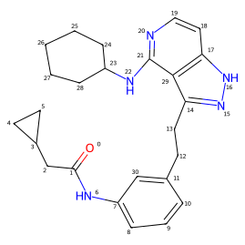 O=C(CC1CC1)Nc1cccc(CCc2n[nH]c3ccnc(NC4CCCCC4)c23)c1